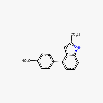 CCOC(=O)c1cc2c(-c3ccc(C(=O)O)cc3)cccc2[nH]1